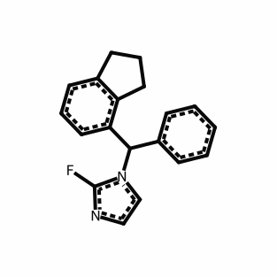 Fc1nccn1C(c1ccccc1)c1cccc2c1CCC2